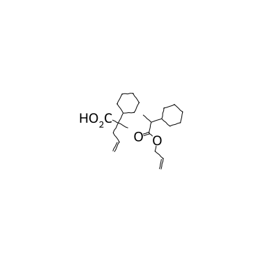 C=CCC(C)(C(=O)O)C1CCCCC1.C=CCOC(=O)C(C)C1CCCCC1